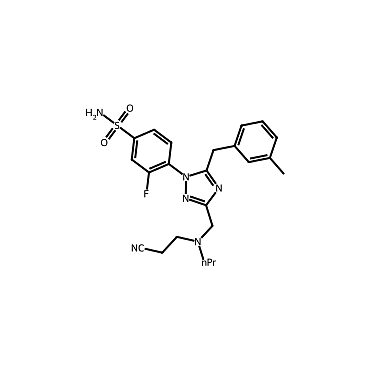 CCCN(CCC#N)Cc1nc(Cc2cccc(C)c2)n(-c2ccc(S(N)(=O)=O)cc2F)n1